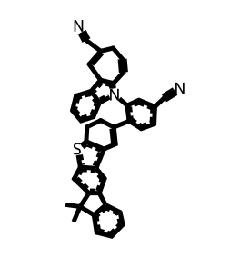 CC1(C)c2ccccc2-c2cc3c4c(sc3cc21)CCC(c1ccc(C#N)cc1-n1c2c(c3ccccc31)C=C(C#N)CC#C2)=C4